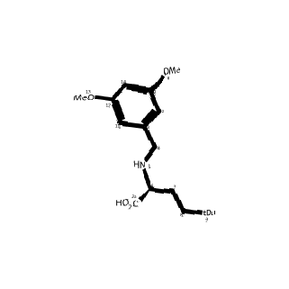 COc1cc(CN[C@@H](CCC(C)(C)C)C(=O)O)cc(OC)c1